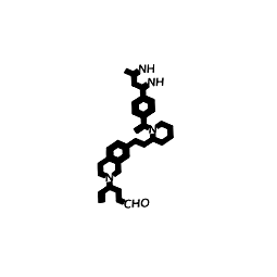 C=CC(CCC=O)N1CCc2ccc(CCC3CCCCN3C(=C)c3ccc(C(=N)CC(C)=N)cc3)cc2C1